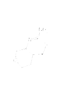 NC1=NC2COCCC2CS1